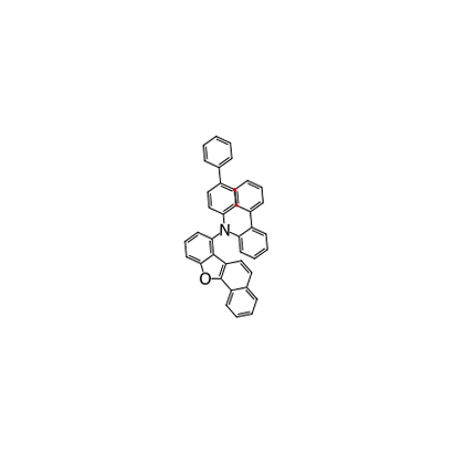 c1ccc(-c2ccc(N(c3ccccc3-c3ccccc3)c3cccc4oc5c6ccccc6ccc5c34)cc2)cc1